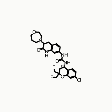 O=C(Nc1ccc2c(c1)NC(=O)C(N1CCCOCC1)C2)N[C@@H]1CC(CF)(CF)Oc2cc(Cl)ccc21